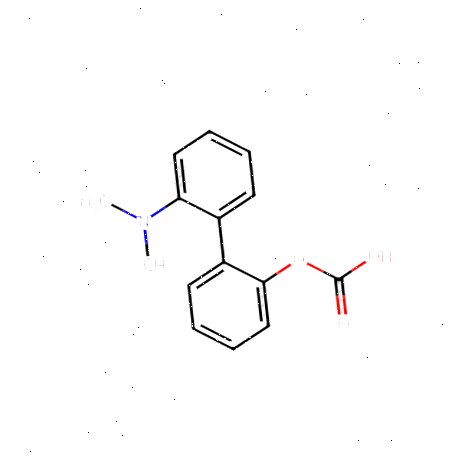 CN(C)c1ccccc1-c1ccccc1OC(=O)O